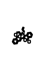 C=CCN(CC=C)c1c(-c2cc3ccccc3c(=O)o2)oc(=O)c2ccccc12